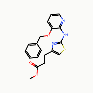 COC(=O)CCc1csc(Nc2ncccc2OCc2ccccc2)n1